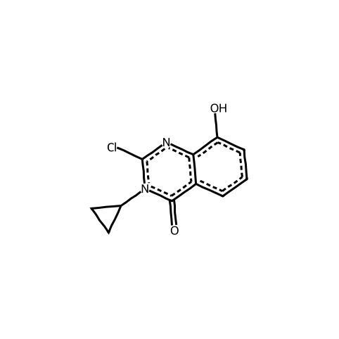 O=c1c2cccc(O)c2nc(Cl)n1C1CC1